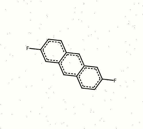 Fc1[c]cc2cc3cc(F)[c]cc3cc2c1